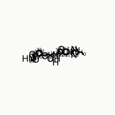 CCc1cnc(N2CCC3(CC2)C[C@@H](NC[C@H](O)COc2cccc(S(=O)(=O)NC)c2)CO3)nc1